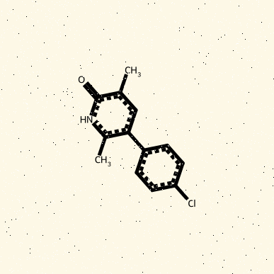 Cc1[nH]c(=O)c(C)cc1-c1ccc(Cl)cc1